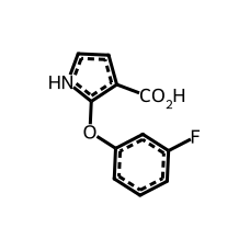 O=C(O)c1cc[nH]c1Oc1cccc(F)c1